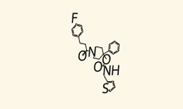 O=C(NCc1cccs1)OC1(c2ccccc2)CCN(C(=O)CCc2ccc(F)cc2)CC1